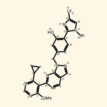 COc1ncnc(C2CC2)c1-c1ncc2cnn(Cc3ccc(-c4nc(C(F)(F)F)cn4C(C)C)c(O)c3)c2n1